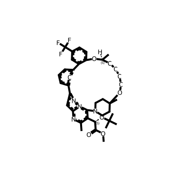 COC(=O)[C@@H](OC(C)(C)C)c1c(C)nc2cc3nn2c1N1CCC(C)(CC1)OCCCC[C@H](C)Oc1ccc(C(F)(F)F)cc1-c1cccc-3c1